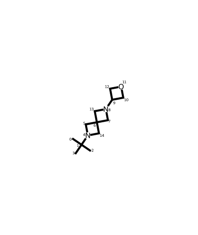 CC(C)(C)N1CC2(CN(C3COC3)C2)C1